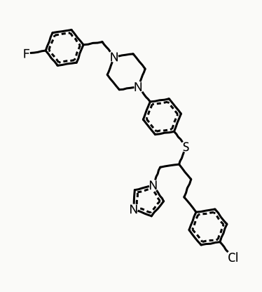 Fc1ccc(CN2CCN(c3ccc(SC(CCc4ccc(Cl)cc4)Cn4ccnc4)cc3)CC2)cc1